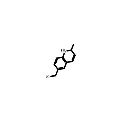 CC1C=Cc2cc(CBr)ccc2N1